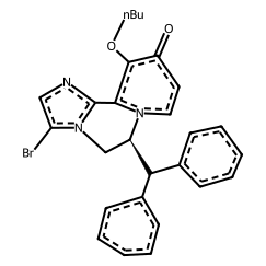 CCCCOc1c2n(ccc1=O)[C@@H](C(c1ccccc1)c1ccccc1)Cn1c(Br)cnc1-2